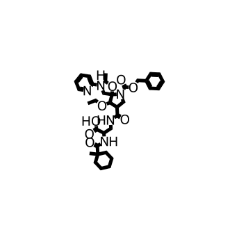 CCOC1C(C(=O)NCC(NC(=O)C2(C)CCCCC2)C(=O)O)CN(C(=O)OCc2ccccc2)C1(CNc1ccccn1)OCC